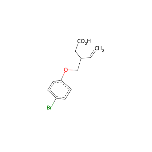 C=CC(COc1ccc(Br)cc1)CC(=O)O